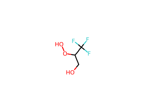 OCC(OO)C(F)(F)F